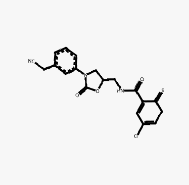 N#CCc1cccc(N2CC(CNC(=O)C3=CC(Cl)=CCC3=S)OC2=O)c1